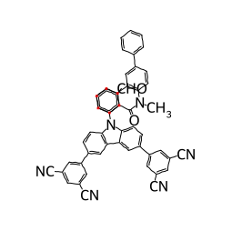 CN(C(=O)c1c(C=O)cccc1-n1c2ccc(-c3cc(C#N)cc(C#N)c3)cc2c2cc(-c3cc(C#N)cc(C#N)c3)ccc21)c1ccc(-c2ccccc2)cc1-c1ccccc1